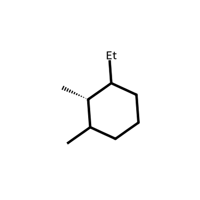 CCC1CCCC(C)[C@@H]1C